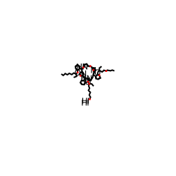 CCCCCCCC(CC)Oc1ccccc1-c1c2nc(c(-c3ccccc3OC(CC)CCCCCCC)c3ccc([nH]3)c(-c3ccccc3OC(CC)CCCCCCC)c3nc(cc4ccc1[nH]4)C=C3)C=C2.I.I